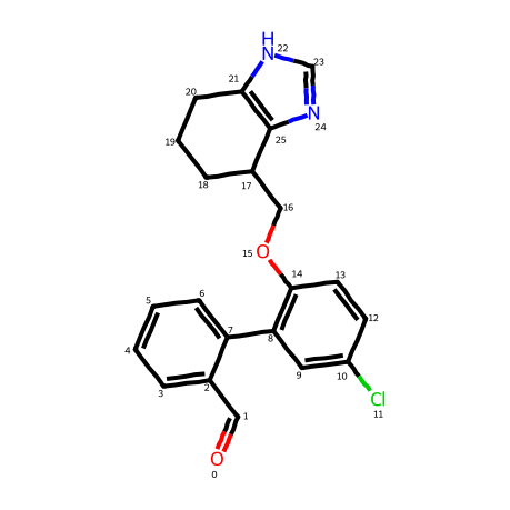 O=Cc1ccccc1-c1cc(Cl)ccc1OCC1CCCc2[nH]cnc21